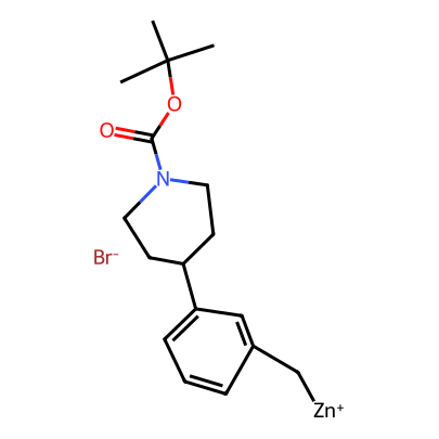 CC(C)(C)OC(=O)N1CCC(c2cccc([CH2][Zn+])c2)CC1.[Br-]